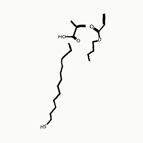 C=C(C)C(=O)O.C=CC(=O)OCCCC.CCCCCCCCCCCCS